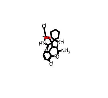 NC(=O)C1NC2(CCCCC2)C2(C(=O)Nc3cc(Cl)ccc32)C1c1cccc(Cl)c1F